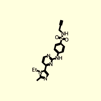 C#CCNS(=O)(=O)c1ccc(Nc2nccc(-c3cnc(C)n3CC)n2)cc1